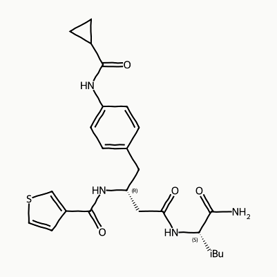 CCC(C)[C@H](NC(=O)C[C@@H](Cc1ccc(NC(=O)C2CC2)cc1)NC(=O)c1ccsc1)C(N)=O